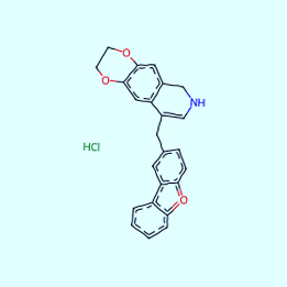 C1=C(Cc2ccc3oc4ccccc4c3c2)c2cc3c(cc2CN1)OCCO3.Cl